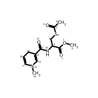 COC(=O)C(CSC(C)=O)NC(=O)C1=CN(C)C=CC1